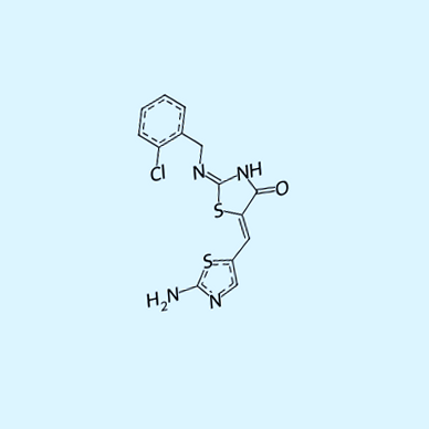 Nc1ncc(C=C2SC(=NCc3ccccc3Cl)NC2=O)s1